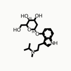 CC(C)N(C)CCc1c[nH]c2cccc(O[C@@H]3CC(O)[C@H](O)C(CO)O3)c12